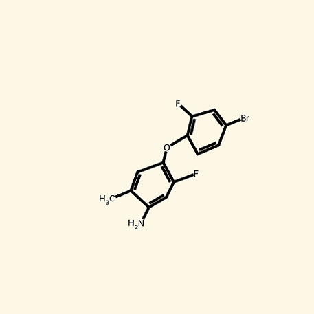 Cc1cc(Oc2ccc(Br)cc2F)c(F)cc1N